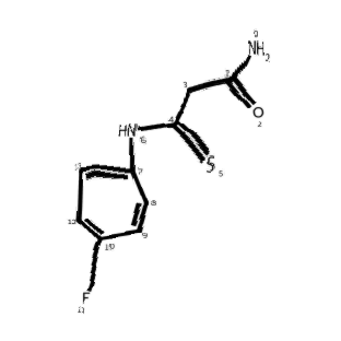 NC(=O)CC(=S)Nc1ccc(F)cc1